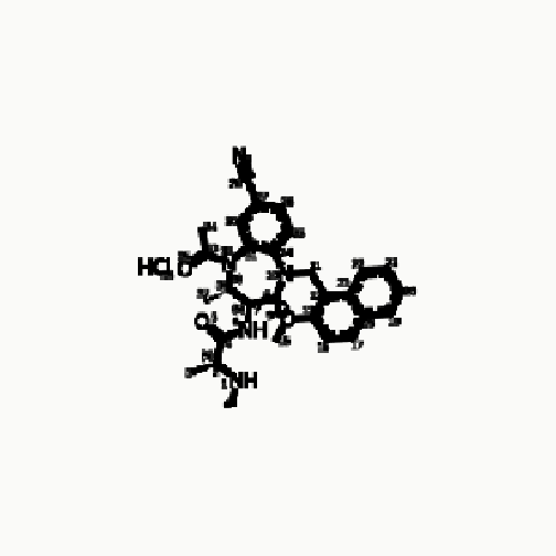 CN[C@@H](C)C(=O)N[C@@H]1C(=O)N(Cc2c(OC)ccc3ccccc23)c2ccc(C#N)cc2N(C(C)=O)[C@H]1C.Cl